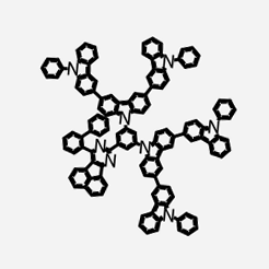 c1ccc(-c2ccccc2-c2nc(-c3cc(-n4c5ccc(-c6ccc7c(c6)c6ccccc6n7-c6ccccc6)cc5c5cc(-c6ccc7c(c6)c6ccccc6n7-c6ccccc6)ccc54)cc(-n4c5ccc(-c6ccc7c(c6)c6ccccc6n7-c6ccccc6)cc5c5cc(-c6ccc7c(c6)c6ccccc6n7-c6ccccc6)ccc54)c3)nc3c2-c2cccc4cccc-3c24)cc1